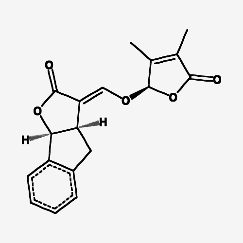 CC1=C(C)[C@H](O/C=C2/C(=O)O[C@@H]3c4ccccc4C[C@H]23)OC1=O